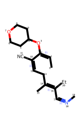 C/C=C(OC1CCOCC1)\C(C#N)=C/C/C(C)=C(/C=N\C)CC